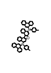 Cc1ccc(N(c2cc3ccccc3c3ccccc23)c2cc3oc4cc(N(c5ccc(C)cc5)c5cc6ccccc6c6ccccc56)c5ccccc5c4c3c3ccccc23)cc1